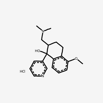 COc1cccc2c1CCC(CN(C)C)C2(O)c1cccnc1.Cl